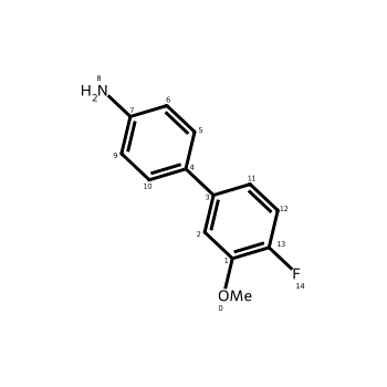 COc1cc(-c2ccc(N)cc2)ccc1F